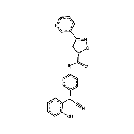 N#CC(c1ccc(NC(=O)C2CC(c3cccnc3)=NO2)cc1)c1ccccc1O